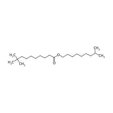 CC(C)CCCCCCCOC(=O)CCCCCCCC(C)(C)C